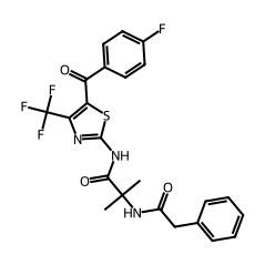 CC(C)(NC(=O)Cc1ccccc1)C(=O)Nc1nc(C(F)(F)F)c(C(=O)c2ccc(F)cc2)s1